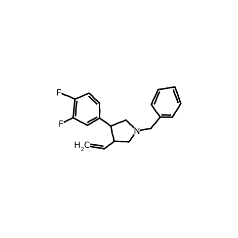 C=CC1CN(Cc2ccccc2)CC1c1ccc(F)c(F)c1